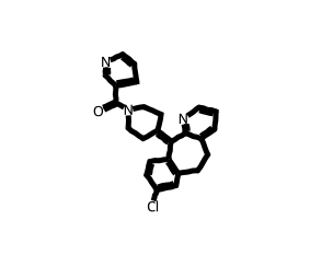 O=C(c1cccnc1)N1CCC(=C2c3ccc(Cl)cc3CCc3cccnc32)CC1